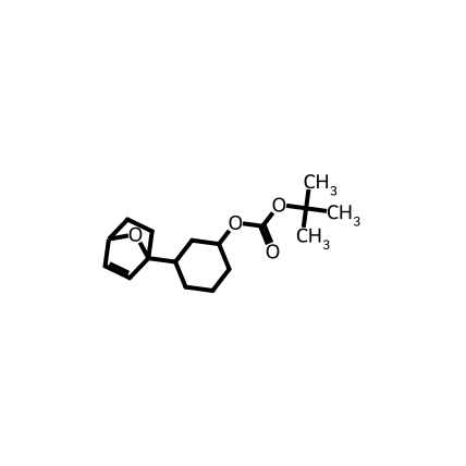 CC(C)(C)OC(=O)OC1CCCC(C23C=CC(CC2)O3)C1